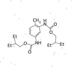 CCC(CC)COC(=O)Nc1ccc(C)c(NC(=O)OCC(CC)CC)c1